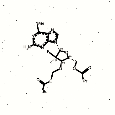 CNc1nc(N)nc2c1ncn2[C@@H]1O[C@H](COC(=O)C(C)C)[C@@H](OCOC(=O)C(C)(C)C)[C@@]1(C)F